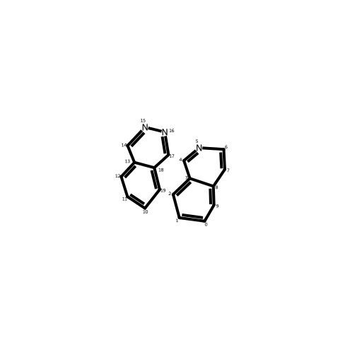 c1ccc2cnccc2c1.c1ccc2cnncc2c1